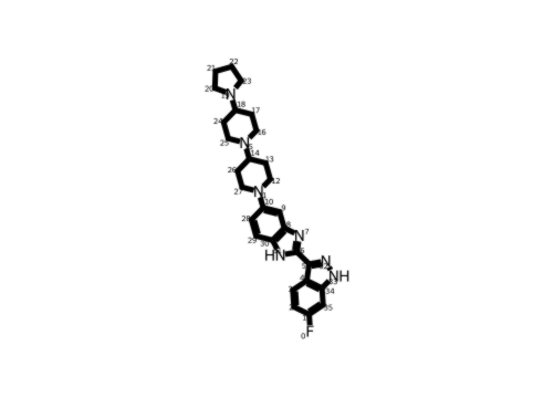 Fc1ccc2c(-c3nc4cc(N5CCC(N6CCC(N7CCCC7)CC6)CC5)ccc4[nH]3)n[nH]c2c1